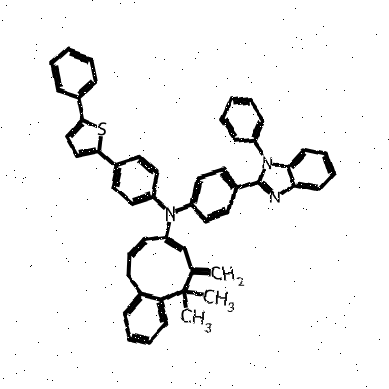 C=C1/C=C(N(c2ccc(-c3ccc(-c4ccccc4)s3)cc2)c2ccc(-c3nc4ccccc4n3-c3ccccc3)cc2)\C=C/Cc2ccccc2C1(C)C